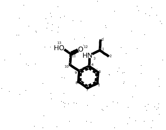 CC(C)Nc1ccccc1CC(=O)O